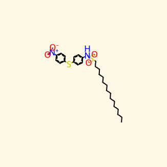 CCCCCCCCCCCCCCCCS(=O)(=O)Nc1ccc(Sc2ccc([N+](=O)[O-])cc2)cc1